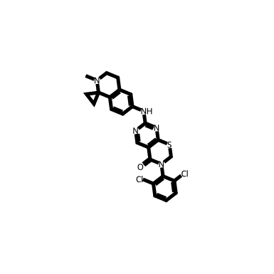 CN1CCc2cc(Nc3ncc4c(n3)SCN(c3c(Cl)cccc3Cl)C4=O)ccc2C12CC2